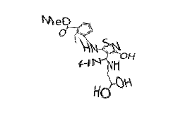 COC(=O)c1cccc(Nc2snc(O)c2C(=N)NCC(O)O)c1C